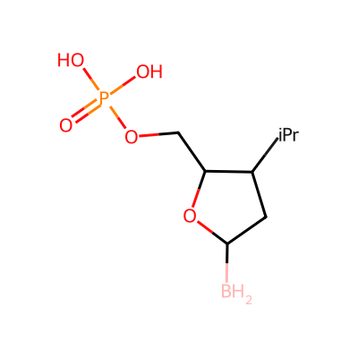 BC1CC(C(C)C)C(COP(=O)(O)O)O1